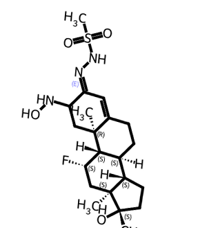 C[C@]12CC(NO)/C(=N/NS(C)(=O)=O)C=C1CC[C@@H]1[C@@H]2[C@@H](F)C[C@@]2(C)[C@H]1CC[C@]2(C)O